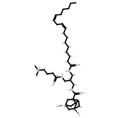 CCCCC/C=C\C/C=C\CCCCCCCC(=O)OCC(COC(=O)CCCN(C)C)COC(=O)C12C[C@@H]3CC1C[C@@H](C3)C2